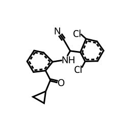 N#CC(Nc1ccccc1C(=O)C1CC1)c1c(Cl)cccc1Cl